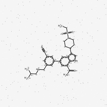 CCS(=O)(=O)N1CCC(c2c[nH]c3c(C(N)=O)cc(-c4cc(C#N)cc(CNCC(C)C)c4)cc23)CC1